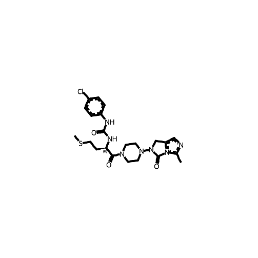 CSCC[C@@H](NC(=O)Nc1ccc(Cl)cc1)C(=O)N1CCN(N2Cc3cnc(C)n3C2=O)CC1